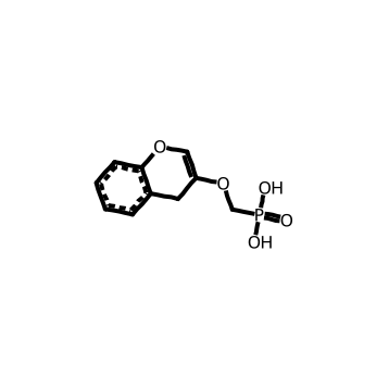 O=P(O)(O)COC1=COc2ccccc2C1